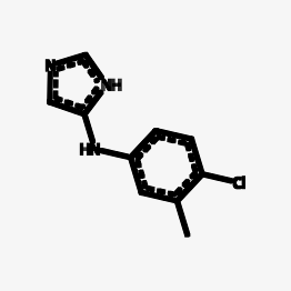 Cc1cc(Nc2cnc[nH]2)ccc1Cl